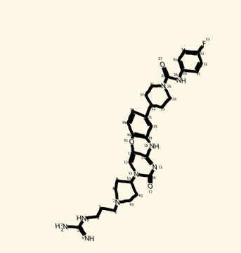 N=C(N)NCCCN1CCC(n2cc3c(nc2=O)Nc2cc(C4CCN(C(=O)Nc5ccc(F)cc5)CC4)ccc2O3)CC1